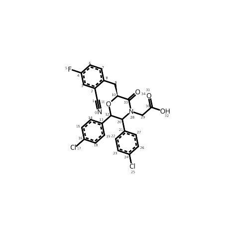 N#Cc1cc(F)ccc1C[C@@H]1OC(c2ccc(Cl)cc2)C(c2ccc(Cl)cc2)N(CC(=O)O)C1=O